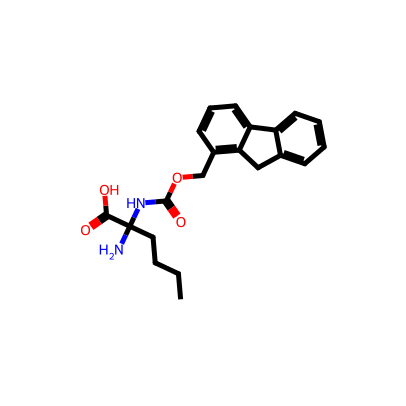 CCCCC(N)(NC(=O)OCc1cccc2c1Cc1ccccc1-2)C(=O)O